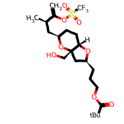 C=C(OS(=O)(=O)C(F)(F)F)[C@H](C)C[C@H]1CC[C@@H]2O[C@@H](CCCOC(=O)C(C)(C)C)C[C@]2(CO)O1